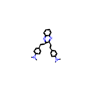 CN(C)c1ccc(C=Cc2nc3ccccc3nc2C=Cc2ccc(N(C)C)cc2)cc1